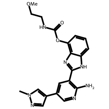 COCCNC(=O)Oc1cccc2[nH]c(-c3cc(-c4cnn(C)c4)cnc3N)nc12